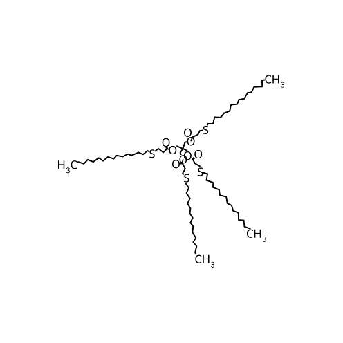 CCCCCCCCCCCCCCCCSCCC(=O)OCC(COC(=O)CCSCCCCCCCCCCCCCCCC)(COC(=O)CCSCCCCCCCCCCCCCCCC)COC(=O)CCSCCCCCCCCCCCCCCCC